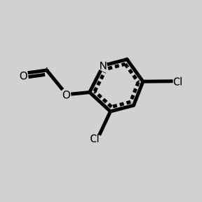 O=[C]Oc1ncc(Cl)cc1Cl